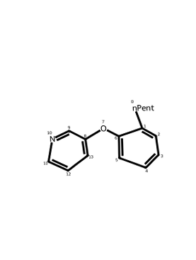 CCCCCc1ccccc1Oc1[c]nccc1